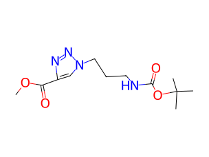 COC(=O)c1cn(CCCNC(=O)OC(C)(C)C)nn1